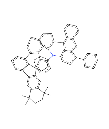 CC1(C)CCC(C)(C)c2cc3c(cc21)-c1cccc(-c2ccccc2-c2ccccc2N(c2ccc(-c4ccccc4)cc2)c2ccccc2-c2cccc4ccccc24)c1C31CCCCC1